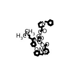 COc1ccc2c(CCN(C)C)cn(P(=O)(OCOC(=O)C3=CN(Cc4ccccc4)C=CC3)OCOC(=O)C3=CN(Cc4ccccc4)C=CC3)c2c1